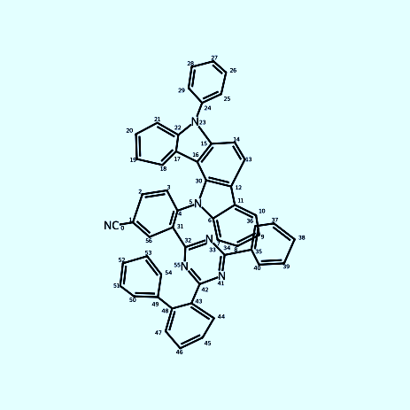 N#Cc1ccc(-n2c3ccccc3c3ccc4c(c5ccccc5n4-c4ccccc4)c32)c(-c2nc(-c3ccccc3)nc(-c3ccccc3-c3ccccc3)n2)c1